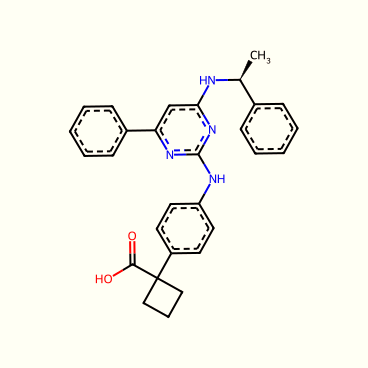 C[C@H](Nc1cc(-c2ccccc2)nc(Nc2ccc(C3(C(=O)O)CCC3)cc2)n1)c1ccccc1